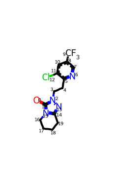 O=c1n(CCc2ncc(C(F)(F)F)cc2Cl)nc2n1CCCC2